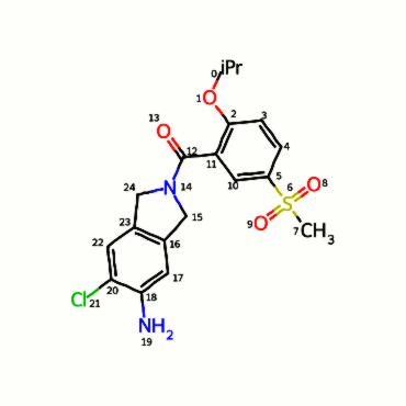 CC(C)Oc1ccc(S(C)(=O)=O)cc1C(=O)N1Cc2cc(N)c(Cl)cc2C1